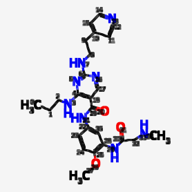 CCCNc1nc(NCCc2ccncc2)ncc1C(=O)Nc1ccc(OC)c(NC(=O)CNC)c1